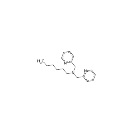 CCCCCCN(Cc1ccccn1)Cc1ccccn1